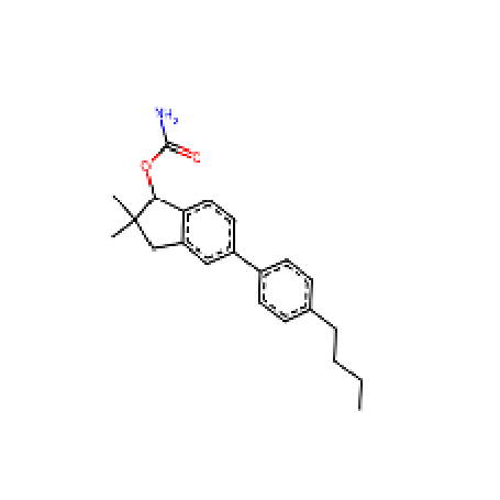 CCCCc1ccc(-c2ccc3c(c2)CC(C)(C)C3OC(N)=O)cc1